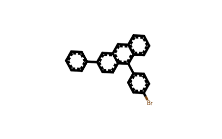 Brc1ccc(-c2c3ccccc3cc3cc(-c4ccccc4)ccc23)cc1